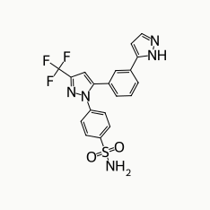 NS(=O)(=O)c1ccc(-n2nc(C(F)(F)F)cc2-c2cccc(-c3ccn[nH]3)c2)cc1